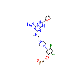 CN(CCN1CCN(c2cc(OCC[S+](C)[O-])c(F)cc2F)CC1)c1nc(N)n2nc(-c3ccco3)nc2n1